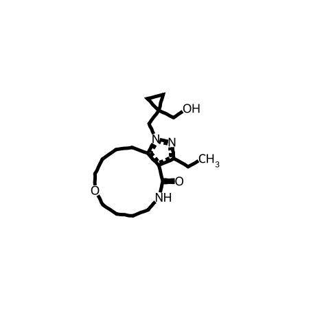 CCc1nn(CC2(CO)CC2)c2c1C(=O)NCCCCOCCCC2